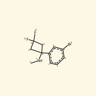 CNC1(c2cccc(Br)c2)CC(F)(F)C1